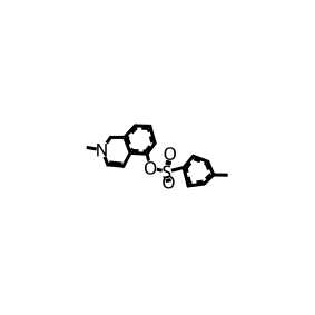 Cc1ccc(S(=O)(=O)Oc2cccc3c2C=CN(C)C3)cc1